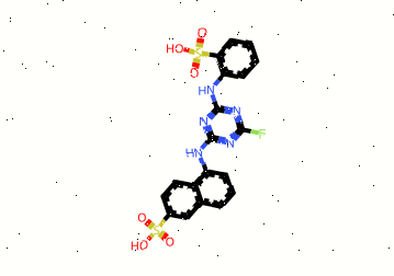 O=S(=O)(O)c1ccc2c(Nc3nc(F)nc(Nc4ccccc4S(=O)(=O)O)n3)cc[c]c2c1